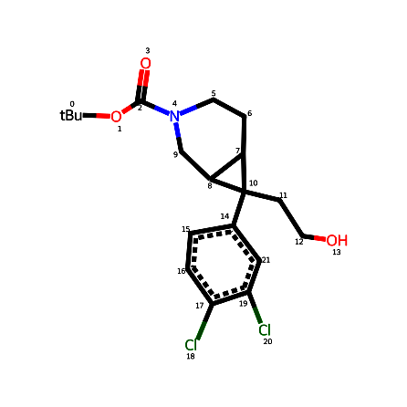 CC(C)(C)OC(=O)N1CCC2C(C1)C2(CCO)c1ccc(Cl)c(Cl)c1